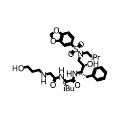 CCC(C)[C@H](NC(=O)CNCCCO)C(=O)N[C@@H](Cc1ccccc1)[C@H](O)CN(CC(C)C)S(=O)(=O)c1ccc2c(c1)OCO2